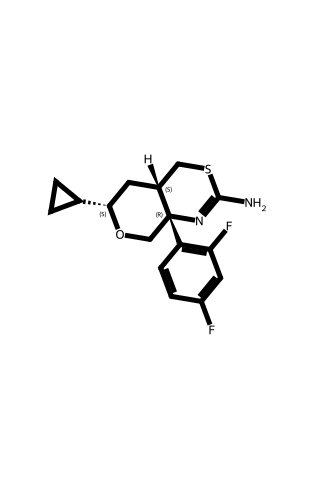 NC1=N[C@]2(c3ccc(F)cc3F)CO[C@H](C3CC3)C[C@@H]2CS1